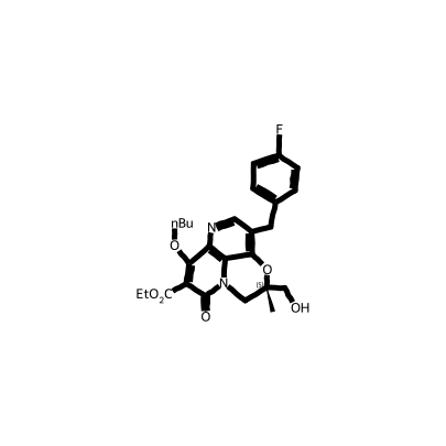 CCCCOc1c(C(=O)OCC)c(=O)n2c3c(c(Cc4ccc(F)cc4)cnc13)O[C@](C)(CO)C2